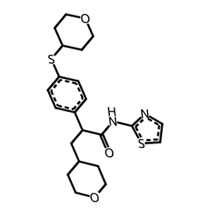 O=C(Nc1nccs1)C(CC1CCOCC1)c1ccc(SC2CCOCC2)cc1